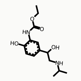 CCOC(=O)Nc1cc(C(O)CNC(C)C)ccc1O